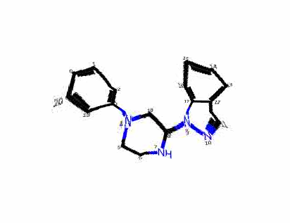 c1ccc(N2CCNC(n3ncc4ccccc43)C2)cc1